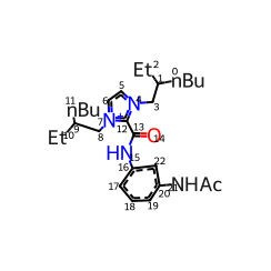 CCCCC(CC)Cn1cc[n+](CC(CC)CCCC)c1C(=O)Nc1cccc(NC(C)=O)c1